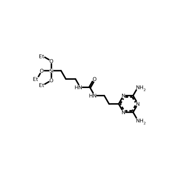 CCO[Si](CCCNC(=O)NCCc1nc(N)nc(N)n1)(OCC)OCC